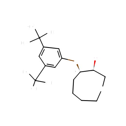 CC(C)(C)c1cc(S[C@@H]2CCCCCC[C@@H]2O)cc(C(C)(C)C)c1